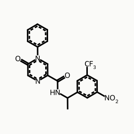 CC(NC(=O)c1cn(-c2ccccc2)c(=O)cn1)c1cc([N+](=O)[O-])cc(C(F)(F)F)c1